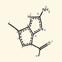 CC(=O)c1ccc(C)c2[nH]c(N)nc12